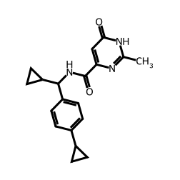 Cc1nc(C(=O)NC(c2ccc(C3CC3)cc2)C2CC2)cc(=O)[nH]1